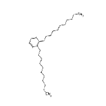 CCCCCCCCCCCc1[c]cc[c]c1CCCCCCCCCCC